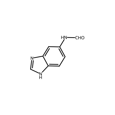 O=CNc1ccc2[nH]cnc2c1